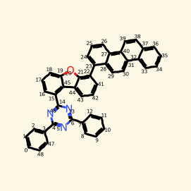 c1ccc(-c2nc(-c3ccccc3)nc(-c3cccc4oc5c(-c6cccc7c6ccc6c8ccccc8ccc76)cccc5c34)n2)cc1